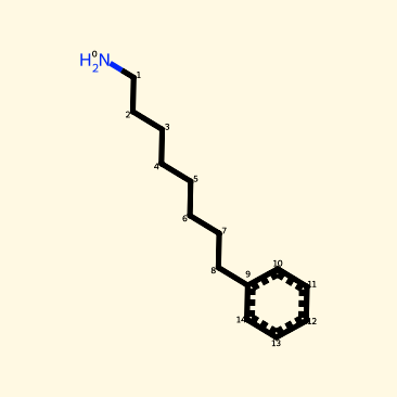 NCCCCCCCCc1[c]cccc1